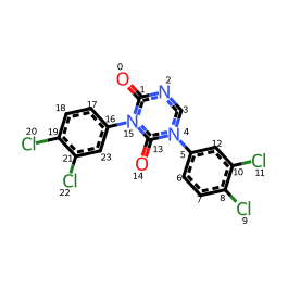 O=c1ncn(-c2ccc(Cl)c(Cl)c2)c(=O)n1-c1ccc(Cl)c(Cl)c1